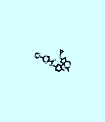 CC1=NC2(c3cc(NC(=O)c4cnc(-n5cncn5)cn4)ccc3F)CC(OC3CC3)CC2CS1